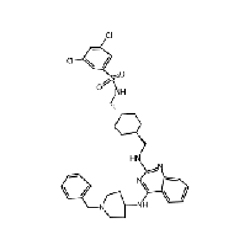 O=S(=O)(NC[C@H]1CC[C@H](CNc2nc(NC3CCN(Cc4ccccc4)CC3)c3ccccc3n2)CC1)c1cc(Cl)cc(Cl)c1